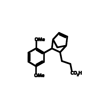 COc1ccc(OC)c(C2C3C=CC(C3)C2CCC(=O)O)c1